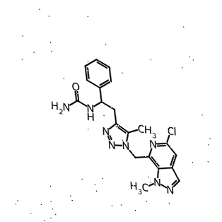 Cc1c(CC(NC(N)=O)c2ccccc2)nnn1Cc1nc(Cl)cc2cnn(C)c12